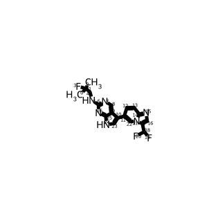 CC(C)(F)CNc1ncc2c(-c3ccc4ncc(C(F)F)n4c3)c[nH]c2n1